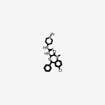 CC(C)N1CCC(NC(=S)NC2N=C(c3ccccc3)c3cc(Cl)ccc3N(C)C2=O)CC1